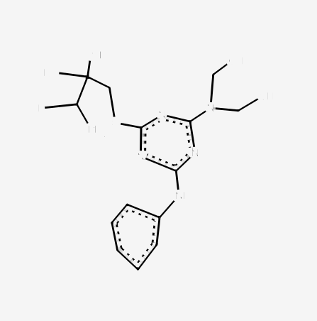 CCN(CC)c1nc(Nc2ccccc2)nc(OCC(C)(P)C(F)P)n1